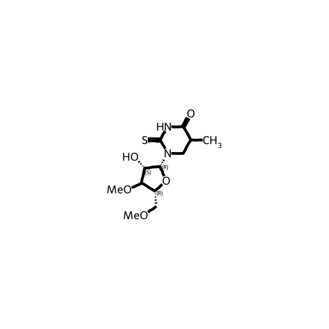 COC[C@H]1O[C@@H](N2CC(C)C(=O)NC2=S)[C@@H](O)C1OC